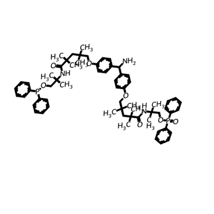 CC(C)(COc1ccc(C(N)c2ccc(OCC(C)(C)CC(C)(C)C(=O)NC(C)(C)COP(=O)(c3ccccc3)c3ccccc3)cc2)cc1)CC(C)(C)C(=O)NC(C)(C)COP(c1ccccc1)c1ccccc1